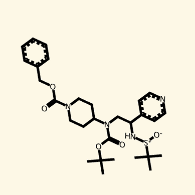 CC(C)(C)OC(=O)N(CC(N[S+]([O-])C(C)(C)C)c1ccncc1)C1CCN(C(=O)OCc2ccccc2)CC1